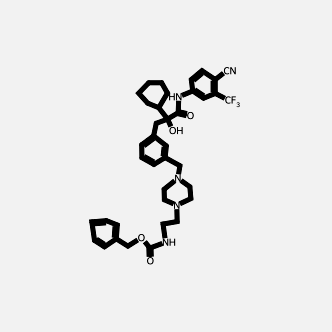 N#Cc1ccc(NC(=O)C(O)(Cc2cccc(CN3CCN(CCNC(=O)OCc4ccccc4)CC3)c2)C2CCCCC2)cc1C(F)(F)F